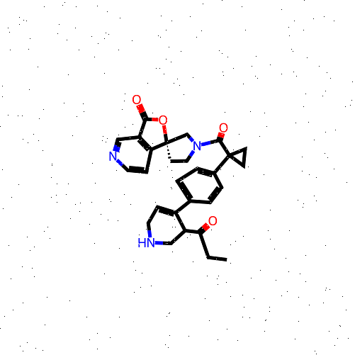 CCC(=O)C1CNCC=C1c1ccc(C2(C(=O)N3CC[C@@]4(C3)OC(=O)c3cnccc34)CC2)cc1